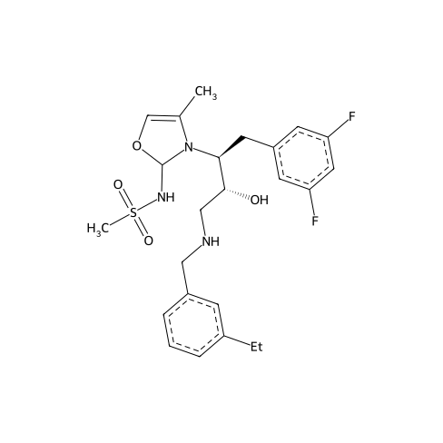 CCc1cccc(CNC[C@@H](O)[C@H](Cc2cc(F)cc(F)c2)N2C(C)=COC2NS(C)(=O)=O)c1